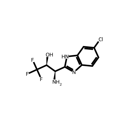 N[C@H](c1nc2ccc(Cl)cc2[nH]1)[C@H](O)C(F)(F)F